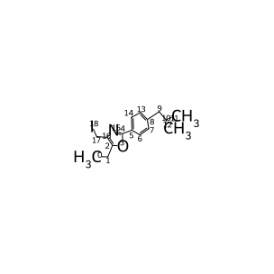 CCc1oc(-c2ccc(CC(C)C)cc2)nc1CI